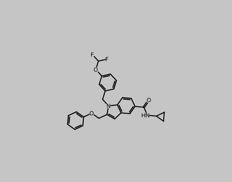 O=C(NC1CC1)c1ccc2c(c1)cc(COc1ccccc1)n2Cc1cccc(OC(F)F)c1